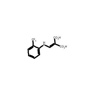 O=C(O)C(=CNc1ccccc1C(F)(F)F)C(=O)O